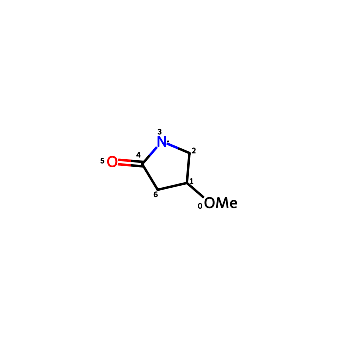 COC1C[N]C(=O)C1